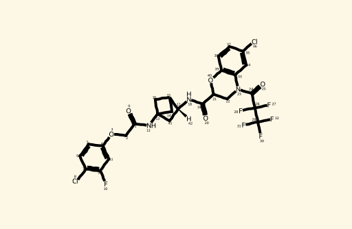 O=C(COc1ccc(Cl)c(F)c1)NC12CC(C1)[C@H](NC(=O)C1CN(C(=O)C(F)(F)C(F)(F)F)c3cc(Cl)ccc3O1)C2